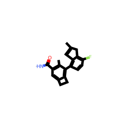 CC1=Cc2c(-c3c(C)c(C([NH])=O)cc4c3CC4)ccc(F)c2C1